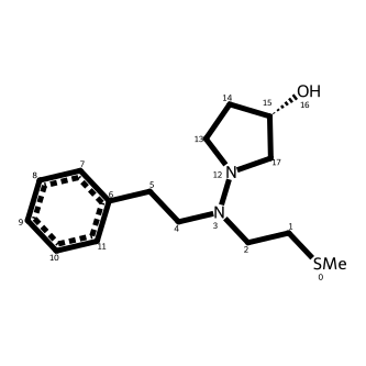 CSCCN(CCc1ccccc1)N1CC[C@H](O)C1